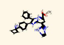 COC(=O)c1cc(-c2ncc[nH]2)c2nc(-c3ccc(C4(N)CCC4)cc3)c(-c3ccccc3)n2n1